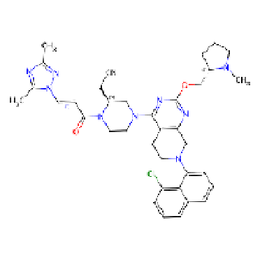 Cc1nc(C)n(/C=C/C(=O)N2CCN(c3nc(OC[C@@H]4CCCN4C)nc4c3CCN(c3cccc5cccc(Cl)c35)C4)C[C@@H]2CC#N)n1